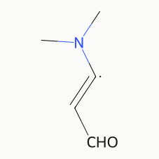 CN(C)[C]=CC=O